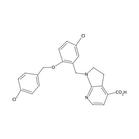 O=C(O)c1ccnc2c1CCN2Cc1cc(Cl)ccc1OCc1ccc(Cl)cc1